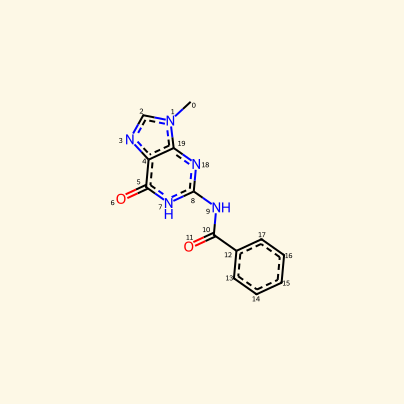 Cn1cnc2c(=O)[nH]c(NC(=O)c3ccccc3)nc21